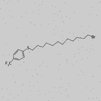 FC(F)(F)c1ccc(SCCCCCCCCCCCCBr)cc1